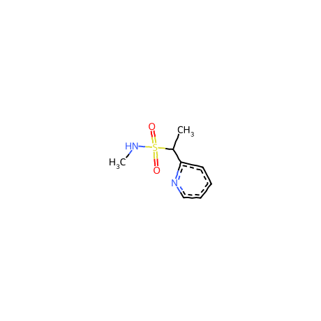 CNS(=O)(=O)C(C)c1ccccn1